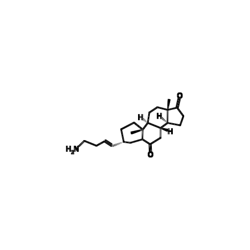 C[C@]12CC[C@@H](C=CCCN)CC1C(=O)C[C@@H]1[C@@H]2CC[C@]2(C)C(=O)CC[C@@H]12